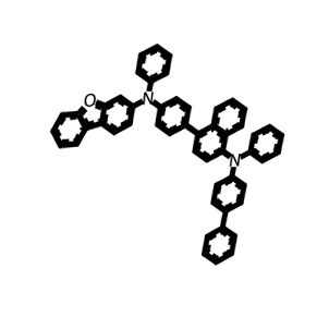 c1ccc(-c2ccc(N(c3ccccc3)c3ccc(-c4ccc(N(c5ccccc5)c5ccc6c(c5)oc5ccccc56)cc4)c4ccccc34)cc2)cc1